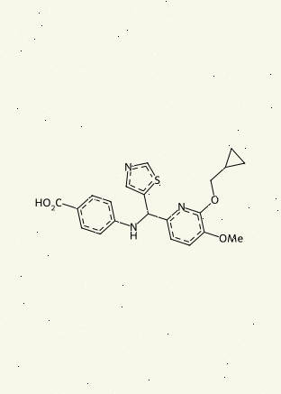 COc1ccc(C(Nc2ccc(C(=O)O)cc2)c2cncs2)nc1OCC1CC1